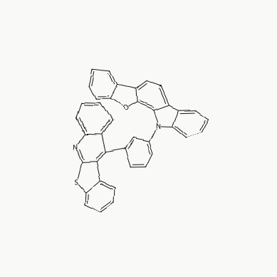 c1cc(-c2c3ccccc3nc3sc4ccccc4c23)cc(-n2c3ccccc3c3ccc4c5ccccc5oc4c32)c1